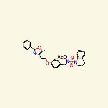 CC(=O)ON(Cc1ccc(OCCc2nc(-c3ccccc3)oc2C)cc1)S(=O)(=O)N1CCCc2ccccc21